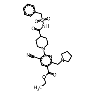 CCOC(=O)c1cc(C#N)c(N2CCC(C(=O)NS(=O)(=O)Cc3ccccc3)CC2)nc1CN1CCCC1